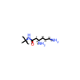 CC(C)(C)NC(=O)C[C@@H](N)CCCN